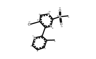 Cc1cccnc1-c1nc(S(C)(=O)=O)ncc1Cl